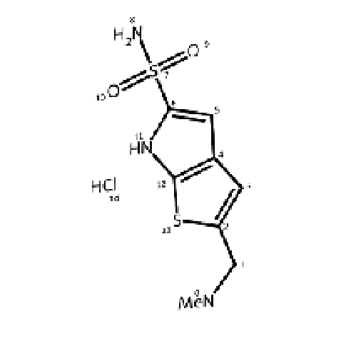 CNCc1cc2cc(S(N)(=O)=O)[nH]c2s1.Cl